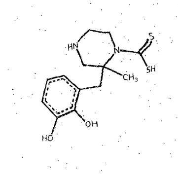 CC1(Cc2cccc(O)c2O)CNCCN1C(=S)S